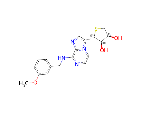 COc1cccc(CNc2nccn3c([C@@H]4SC[C@@H](O)[C@H]4O)cnc23)c1